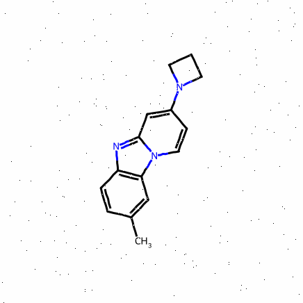 Cc1ccc2nc3cc(N4CCC4)ccn3c2c1